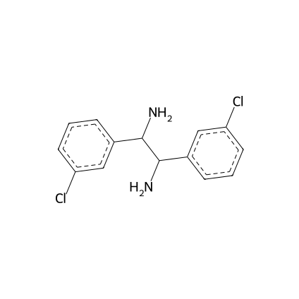 NC(c1cccc(Cl)c1)C(N)c1cccc(Cl)c1